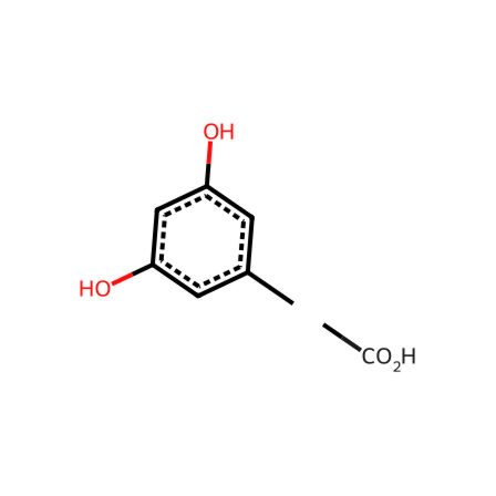 CC(=O)O.Cc1cc(O)cc(O)c1